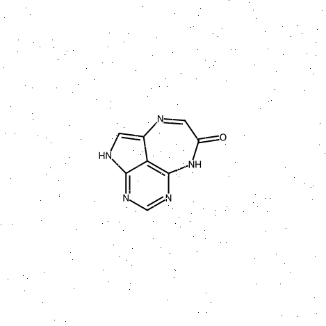 O=C1C=Nc2c[nH]c3ncnc(c23)N1